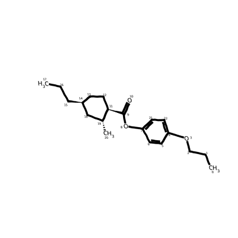 CCCOc1ccc(OC(=O)[C@@H]2CC[C@H](CCC)C[C@H]2C)cc1